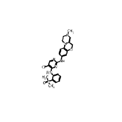 CN1C=C2COc3cc(Nc4ncc(Cl)c(Nc5ccccc5P(C)(C)=O)n4)ccc3N2CC1